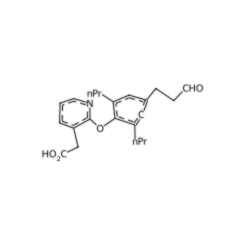 CCCc1cc(CCC=O)cc(CCC)c1Oc1ncccc1CC(=O)O